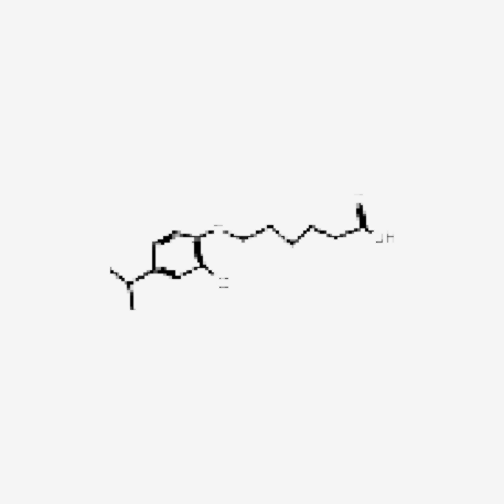 CC(C)c1ccc(OCCCCCC(=O)O)c(Cl)c1